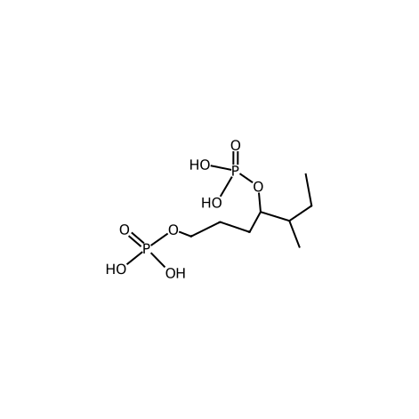 CCC(C)C(CCCOP(=O)(O)O)OP(=O)(O)O